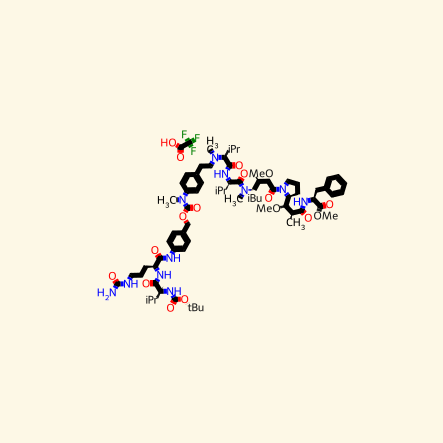 CC[C@H](C)[C@@H]([C@@H](CC(=O)N1CCC[C@H]1[C@H](OC)[C@@H](C)C(=O)N[C@@H](Cc1ccccc1)C(=O)OC)OC)N(C)C(=O)[C@@H](NC(=O)[C@H](C(C)C)N(C)CCc1ccc(N(C)C(=O)OCc2ccc(NC(=O)[C@H](CCCNC(N)=O)NC(=O)[C@@H](NC(=O)OC(C)(C)C)C(C)C)cc2)cc1)C(C)C.O=C(O)C(F)(F)F